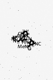 [C-]#[N+]c1cc(C)c(NC(=O)c2cc(Cn3nnnc3C(F)(F)F)nn2-c2ncccc2Cl)c(C(=O)NC)c1